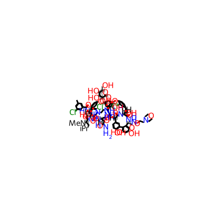 CN[C@H](CC(C)C)C(=O)N[C@H]1C(=O)N[C@@H](CC(N)=O)C(=O)NC2C(=O)N[C@H]3C(=O)N[C@H](C(=O)N[C@@H](C(=O)NOCCN4CCOCC4)c4cc(O)cc(O)c4-c4cc3ccc4O)[C@H](O)c3ccc(c(Cl)c3)Oc3cc2cc(c3O[C@@H]2O[C@H](CO)[C@@H](O)[C@H](O)[C@H]2O[C@H]2C[C@](C)(NCCn3ccc(NC(=O)c4cc(C)cc(Cl)c4)nc3=O)[C@H](O)[C@H](C)O2)Oc2ccc(cc2Cl)[C@H]1O